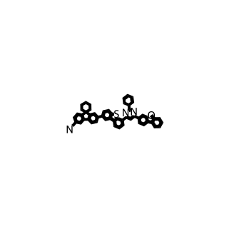 N#Cc1ccc2c(c1)-c1ccc(-c3ccc4sc5c(-c6cc(-c7ccc8c(c7)oc7ccccc78)nc(C7C=CC=CC7)n6)cccc5c4c3)cc1C21CCCCC1